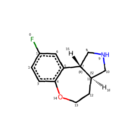 Fc1ccc2c(c1)[C@@H]1CNC[C@H]1CCO2